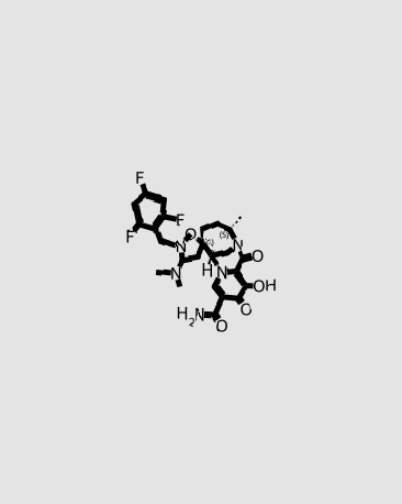 C[C@H]1CC[C@]2(CC(N(C)C)N(Cc3c(F)cc(F)cc3F)O2)[C@H]2CN1C(=O)c1c(O)c(=O)c(C(N)=O)cn12